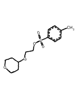 Cc1ccc(S(=O)(=O)OCCOC2CCOCC2)cc1